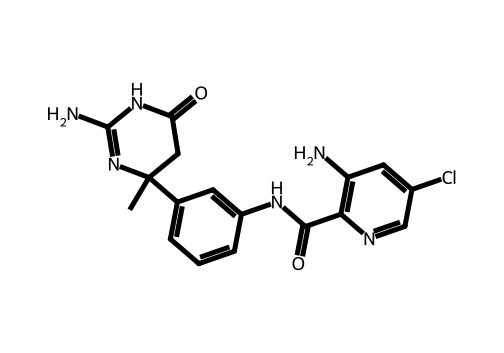 CC1(c2cccc(NC(=O)c3ncc(Cl)cc3N)c2)CC(=O)NC(N)=N1